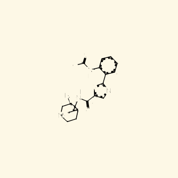 CC(=O)Nc1ccccc1-c1ncc(C(=O)N[C@H]2CN3CCC2CC3)s1